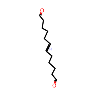 O=CCCCC/C=C/CCCCC=O